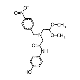 COC(CN(CC(=O)Nc1ccc(O)cc1)Cc1ccc([N+](=O)[O-])cc1)OC